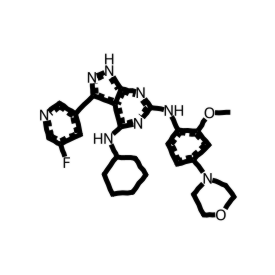 COc1cc(N2CCOCC2)ccc1Nc1nc(NC2CCCCC2)c2c(-c3cncc(F)c3)n[nH]c2n1